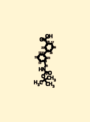 CC(C)(C)OC(=O)NCc1cccc(-c2cccc(C(=O)O)c2)c1